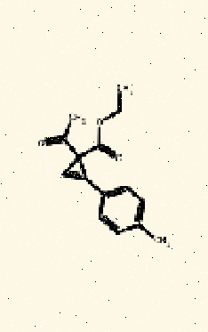 CCOC(=O)C1(C(C)=O)C=C1c1ccc(C)cc1